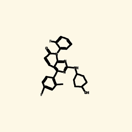 Cc1cc(F)ccc1-c1nc(NC2CCC(O)CC2)nc2c1ccc(=O)n2-c1ccccc1F